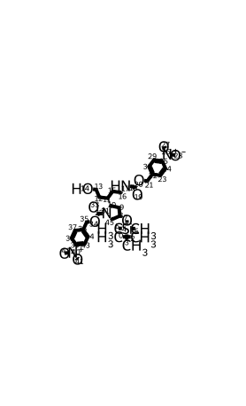 CC(C)(C)[Si](C)(C)O[C@@H]1C[C@@H](C(CCO)CCNC(=O)OCc2ccc([N+](=O)[O-])cc2)N(C(=O)OCc2ccc([N+](=O)[O-])cc2)C1